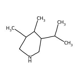 CC(C)C1CNCC(C)C1C